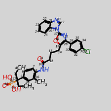 CCC(CC)(c1ccc(NC(=O)CCCc2oc(-n3cnc4ccccc43)nc2-c2ccc(Cl)cc2)c(C)c1)P(=O)(O)O